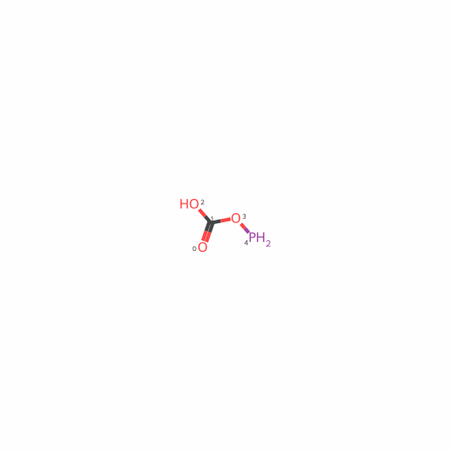 O=C(O)OP